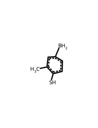 Bc1ccc(S)c(C)c1